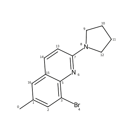 Cc1cc(Br)c2nc(N3CCCC3)ccc2c1